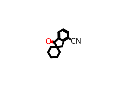 N#Cc1cccc2c1CC1(CCCCC1)C2=O